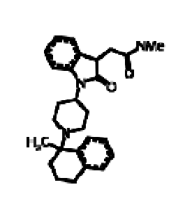 CNC(=O)CC1C(=O)N(C2CCN(C3(C)CCCc4ccccc43)CC2)c2ccccc21